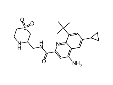 CC(C)(C)c1cc(C2CC2)cc2c(N)cc(C(=O)NCC3CS(=O)(=O)CCN3)nc12